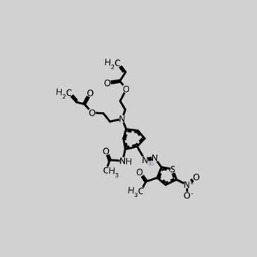 C=CC(=O)OCCN(CCOC(=O)C=C)c1ccc(/N=N/c2sc([N+](=O)[O-])cc2C(C)=O)c(NC(C)=O)c1